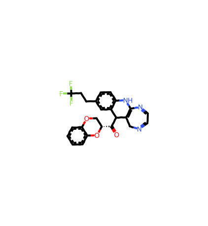 O=C(C1C2=C(N=CC=NC2)Nc2ccc(CCC(F)(F)F)cc21)[C@H]1COc2ccccc2O1